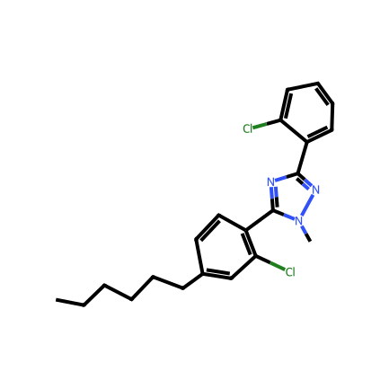 CCCCCCc1ccc(-c2nc(-c3ccccc3Cl)nn2C)c(Cl)c1